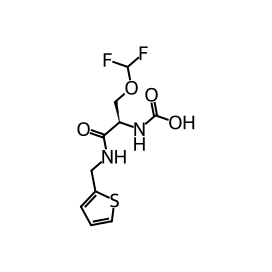 O=C(O)N[C@H](COC(F)F)C(=O)NCc1cccs1